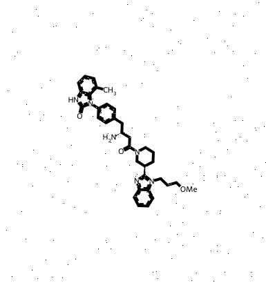 COCCCn1c([C@@H]2CCCN(C(=O)C[C@H](N)Cc3ccc(-n4c(=O)[nH]c5cccc(C)c54)cc3)C2)nc2ccccc21